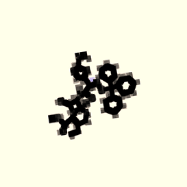 C=CC1=C(C(=O)O)N2C(=O)[C@@H](NC(=O)/C(=N\OC(c3ccccc3)(c3ccccc3)c3ccccc3)c3csc(N)n3)[C@H]2SC1